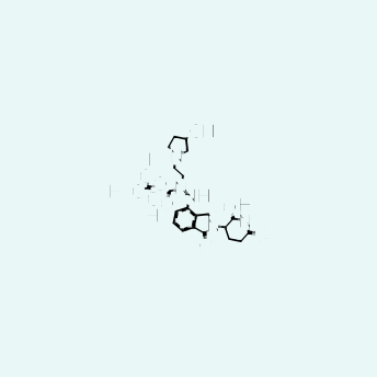 CC1CCN(CCN(Nc2cccc3c2CN(C2CCC(=O)NC2=O)C3=O)C(=O)OC(C)(C)C)C1